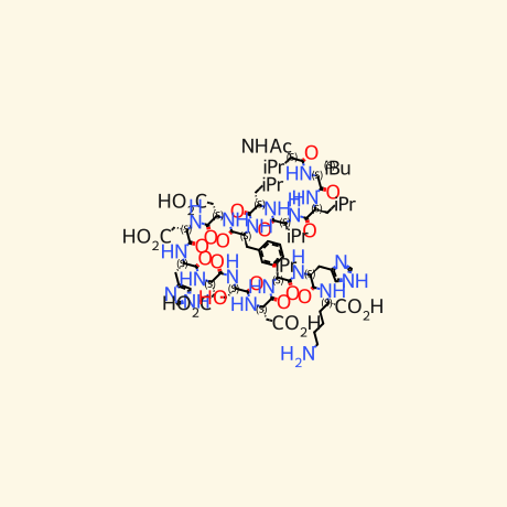 CC[C@H](C)[C@H](NC(=O)[C@@H](NC(C)=O)C(C)C)C(=O)N[C@@H](CC(C)C)C(=O)N[C@H](C(=O)N[C@@H](CC(C)C)C(=O)N[C@@H](Cc1ccccc1)C(=O)N[C@@H](CC(=O)O)C(=O)N[C@@H](CC(=O)O)C(=O)N[C@@H](Cc1c[nH]cn1)C(=O)N[C@@H](CC(=O)O)C(=O)N[C@@H](CO)C(=O)N[C@@H](CC(=O)O)C(=O)N[C@H](C(=O)N[C@@H](Cc1c[nH]cn1)C(=O)N[C@@H](CCCCN)C(=O)O)C(C)C)C(C)C